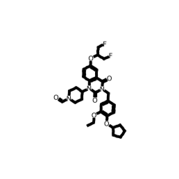 CCOc1cc(Cn2c(=O)c3cc(OC(CF)CF)ccc3n(C3CCN(C=O)CC3)c2=O)ccc1OC1CCCC1